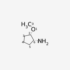 CO[C@H]1CCC[C@H]1N